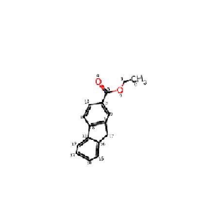 CCOC(=O)c1[c]c2c(cc1)-c1ccccc1C2